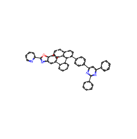 c1ccc(-c2cc(-c3ccc(-c4ccc5ccccc5c4-c4ccccc4-c4ccc5oc(-c6ccccn6)nc5c4)cc3)nc(-c3ccccc3)n2)cc1